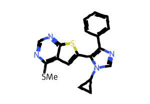 CSc1ncnc2sc(-c3c(-c4ccccc4)ncn3C3CC3)cc12